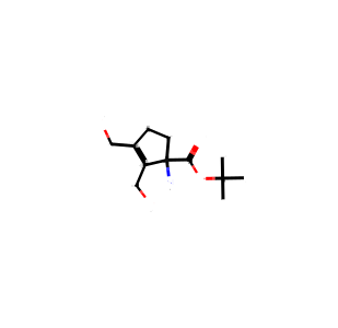 CC(C)(C)OC(=O)C1(N)CCC(CO)=C1CO